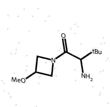 COC1CN(C(=O)C(N)C(C)(C)C)C1